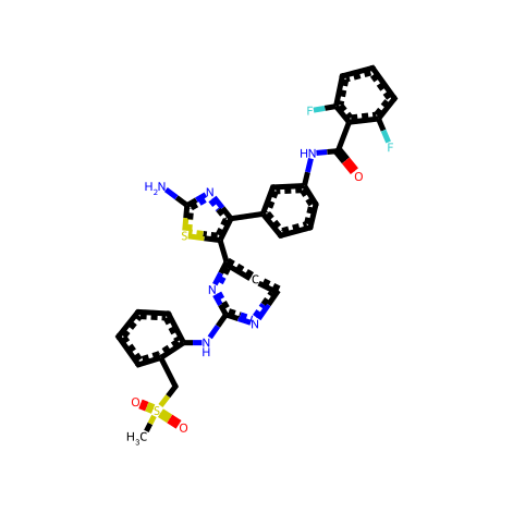 CS(=O)(=O)Cc1ccccc1Nc1nccc(-c2sc(N)nc2-c2cccc(NC(=O)c3c(F)cccc3F)c2)n1